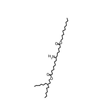 CCCCCCCCCCCOC(=O)CCCCCC(N)CCCCCCCC(=O)OCCC(CCCCCC)CCCCCC